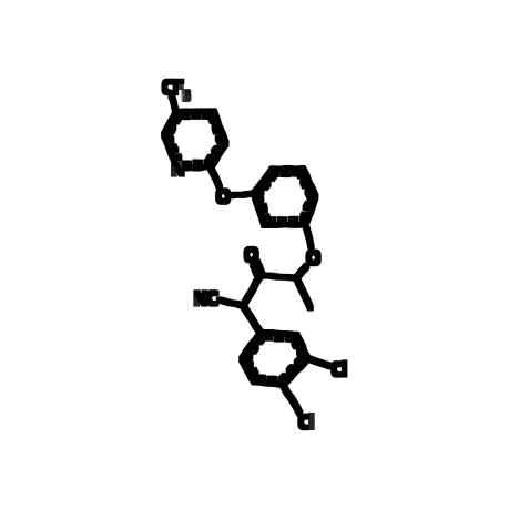 CC(Oc1cccc(Oc2ccc(C(F)(F)F)cn2)c1)C(=O)C(C#N)c1ccc(Cl)c(Cl)c1